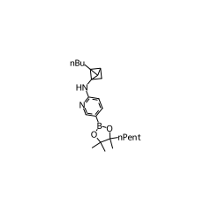 CCCCCC1(C)OB(c2ccc(NC34CC(C3)C4CCCC)nc2)OC1(C)C